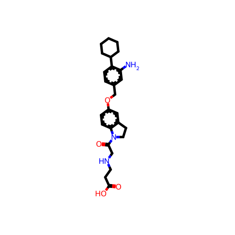 Nc1cc(COc2ccc3c(c2)CCN3C(=O)CNCCC(=O)O)ccc1C1CCCCC1